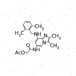 CC(=O)OCC(=O)Nc1cc(NCc2c(C)cccc2C)c2nc(C)c(C)n2c1